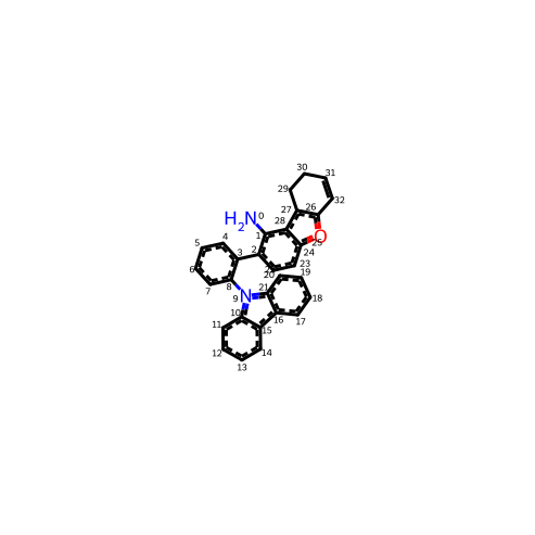 Nc1c(-c2ccccc2-n2c3ccccc3c3ccccc32)ccc2oc3c(c12)CCC=C3